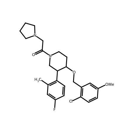 COc1ccc(Cl)c(COC2CCN(C(=O)CN3CCCC3)CC2c2ccc(F)cc2C)c1